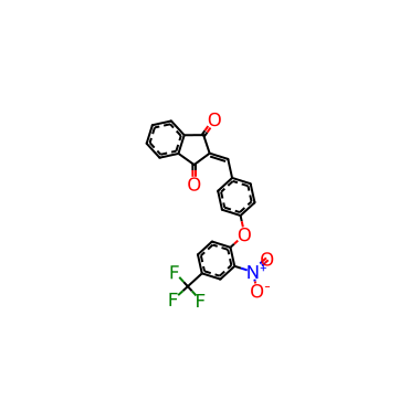 O=C1C(=Cc2ccc(Oc3ccc(C(F)(F)F)cc3[N+](=O)[O-])cc2)C(=O)c2ccccc21